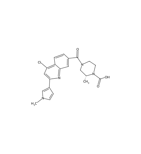 C[C@@H]1CN(C(=O)c2ccc3c(Cl)cc(-c4ccn(C)c4)nc3c2)CCN1C(=O)O